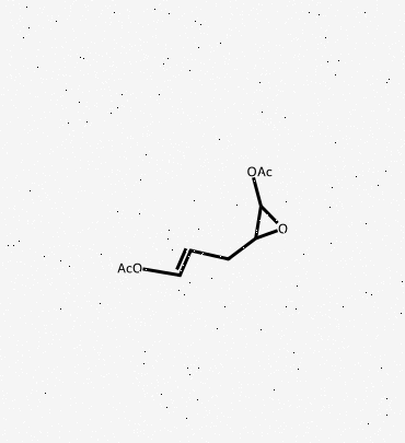 CC(=O)OC=CCC1OC1OC(C)=O